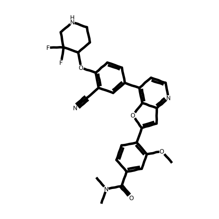 COc1cc(C(=O)N(C)C)ccc1-c1cc2nccc(-c3ccc(OC4CCNCC4(F)F)c(C#N)c3)c2o1